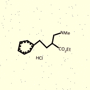 CCOC(=O)C(CCc1ccccc1)CNC.Cl